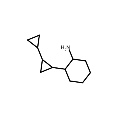 NC1CCCCC1C1CC1C1CC1